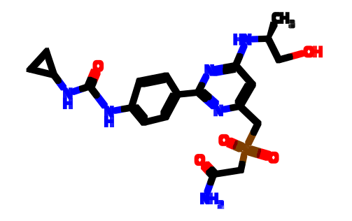 C[C@@H](CO)Nc1cc(CS(=O)(=O)CC(N)=O)nc(-c2ccc(NC(=O)NC3CC3)cc2)n1